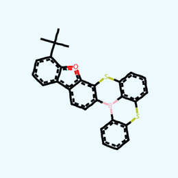 CC(C)(C)c1cccc2c1oc1c3c(ccc12)B1c2ccccc2Sc2cccc(c21)S3